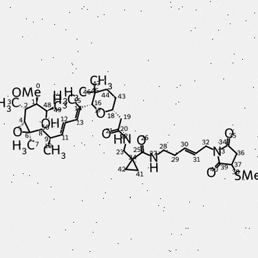 CO[C@H]([C@@H](C)[C@H]1O[C@]1(C)C[C@H](C)/C=C/C=C(\C)[C@H]1O[C@@H](CC(=O)NCC2(C(=O)NCC/C=C/CN3C(=O)CC(SC)C3=O)CC2)CCC1(C)C)[C@@H](C)O